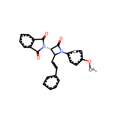 COc1ccc(N2C(=O)[C@@H](N3C(=O)c4ccccc4C3=O)C2/C=C/c2ccccc2)cc1